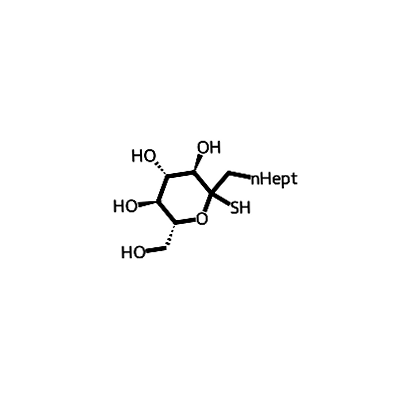 CCCCCCCCC1(S)O[C@H](CO)[C@@H](O)[C@H](O)[C@H]1O